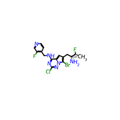 C[C@H](F)[C@H](N)Cc1cc2c(NCc3ccncc3F)nc(Cl)nn2c1Br